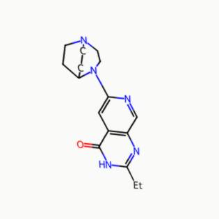 CCc1nc2cnc(N3CCN4CCC3CC4)cc2c(=O)[nH]1